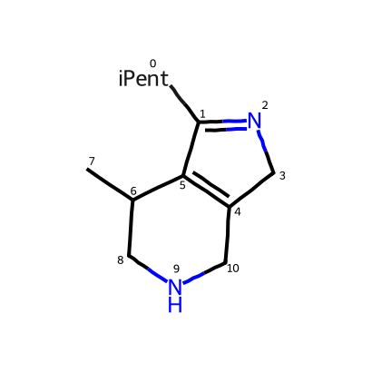 CCCC(C)C1=NCC2=C1C(C)CNC2